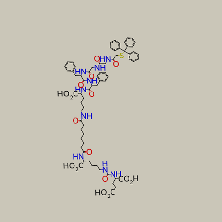 O=C(O)CCC(NC(=O)NCCCCC(NC(=O)CCCCCCC(=O)NCCCCC(NC(=O)C(Cc1ccccc1)NC(=O)C(Cc1ccccc1)NC(=O)CNC(=O)CNC(=O)CSC(c1ccccc1)(c1ccccc1)c1ccccc1)C(=O)O)C(=O)O)C(=O)O